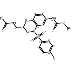 CCC(=O)NC[C@H]1CN(S(=O)(=O)c2ccc(F)cc2)c2cc(NC(=O)OC(C)(C)C)ccc2O1